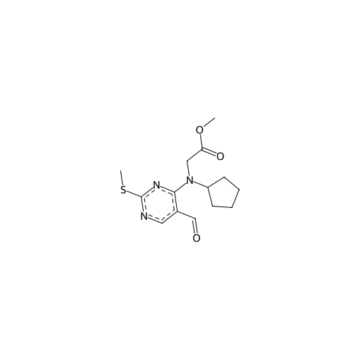 COC(=O)CN(c1nc(SC)ncc1C=O)C1CCCC1